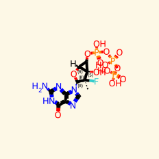 C[C@]1(F)[C@H](n2cnc3c(=O)[nH]c(N)nc32)O[C@@H]2C(OP(=O)(O)OP(=O)(O)OP(=O)(O)O)[C@@]21O